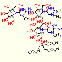 CN(CC(=O)N1[C@H](CO)[C@@H](O)C(O)[C@H](O)[C@H]1CO)C(=N)N.CN(CC(=O)N1[C@H](CO)[C@@H](O)C(O)[C@H](O)[C@H]1CO)C(=N)N.CN(CC(=O)N1[C@H](CO)[C@@H](O)C(O)[C@H](O)[C@H]1CO)C(=N)N.O=C(O)CC(O)(CC(=O)O)C(=O)O